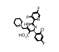 O=C(O)C1=C(CN2CCCCC2)NC(c2ncc(F)cc2F)=N[C@H]1c1ccc(F)cc1Cl